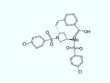 O=C(O)c1cccc(/C=C\[C@@H]2C[C@@H](NS(=O)(=O)c3ccc(Cl)cc3)CN2S(=O)(=O)c2ccc(Cl)cc2)c1